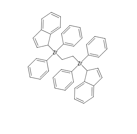 C1=C[CH]([Zr]([CH2][CH2][Zr]([c]2ccccc2)([c]2ccccc2)[CH]2C=Cc3ccccc32)([c]2ccccc2)[c]2ccccc2)c2ccccc21